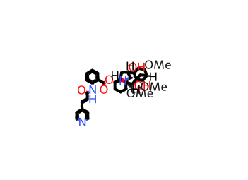 CCN1C[C@]2(OC(=O)c3ccccc3NC(=O)/C=C/c3ccncc3)CC[C@H](OC)[C@]34C1[C@@H](C[C@H]23)[C@@]1(O)C[C@H](OC)[C@H]2C[C@@H]4[C@]1(O)C2OC